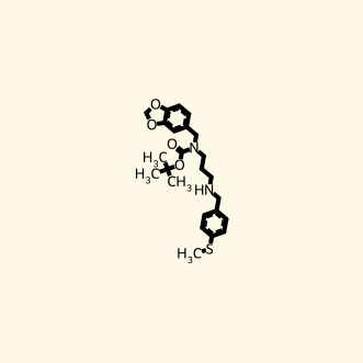 CSc1ccc(CNCCCN(Cc2ccc3c(c2)OCO3)C(=O)OC(C)(C)C)cc1